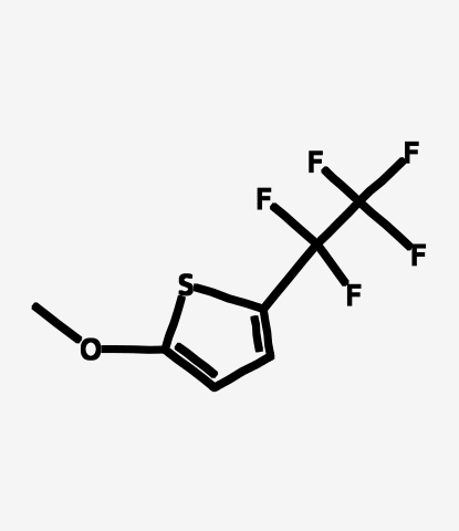 COc1ccc(C(F)(F)C(F)(F)F)s1